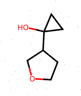 OC1(C2CCOC2)CC1